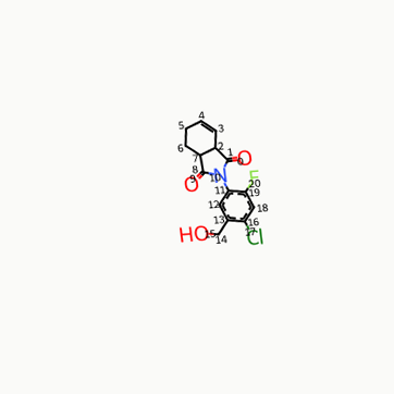 O=C1C2C=CCCC2C(=O)N1c1cc(CO)c(Cl)cc1F